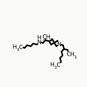 CCCCCCNC[C@@H](C)C1CC2(C1)CN(CC(CC)CCCCC)C2